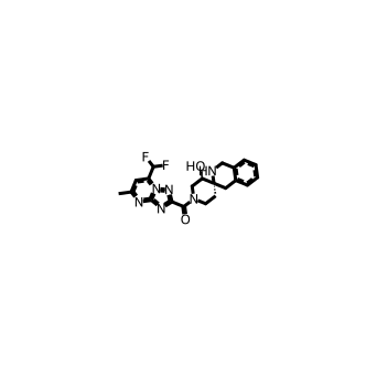 Cc1cc(C(F)F)n2nc(C(=O)N3CC[C@]4(Cc5ccccc5CN4)[C@H](O)C3)nc2n1